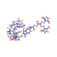 CCC(C)C[C@@H]1NC(=O)[C@@H]2Cc3c([nH]c4ccc(NC(=O)CCC(=O)N(CCN5C(=O)C=CC5=O)CCN5C(=O)C=CC5=O)cc34)SC[C@@H](NC(=O)[C@@H](C(C)O)NC(=O)[C@H](C)CNC1=O)C(=O)N1C[C@H](O)C[C@H]1C(=O)N[C@@H](C)C(=O)N2